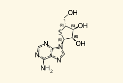 Nc1ncnc2c1ncn2[C@H]1S[C@H](CO)[C@@H](O)[C@H]1O